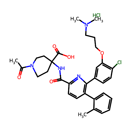 CC(=O)N1CCC(NC(=O)c2ccc(-c3ccccc3C)c(-c3ccc(Cl)c(OCCCN(C)C)c3)n2)(C(=O)O)CC1.Cl